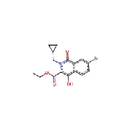 CCOC(=O)c1c(O)c2ccc(Br)cc2c(=O)n1CC1CC1